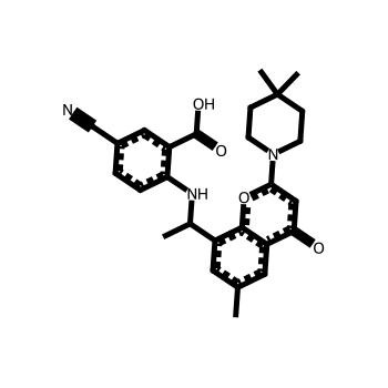 Cc1cc(C(C)Nc2ccc(C#N)cc2C(=O)O)c2oc(N3CCC(C)(C)CC3)cc(=O)c2c1